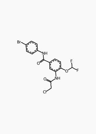 O=C(CCl)Nc1cc(C(=O)Nc2ccc(Br)cc2)ccc1OC(F)F